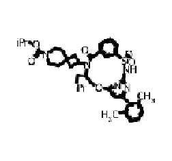 Cc1cccc(C)c1-c1cc2nc(n1)NS(=O)(=O)c1cccc(c1)C(=O)N(C1CC3(CCN(C(=O)OC(C)C)CC3)C1)[C@H](CC(C)C)CO2